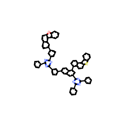 c1ccc(-c2nc(-c3cccc(-c4ccc5c(-c6cccc7c6ccc6sc8ccccc8c67)cc(-c6nc(-c7ccccc7)nc(-c7ccccc7)n6)cc5c4)c3)nc(-c3cccc(-c4ccc5ccc6oc7ccccc7c6c5c4)c3)n2)cc1